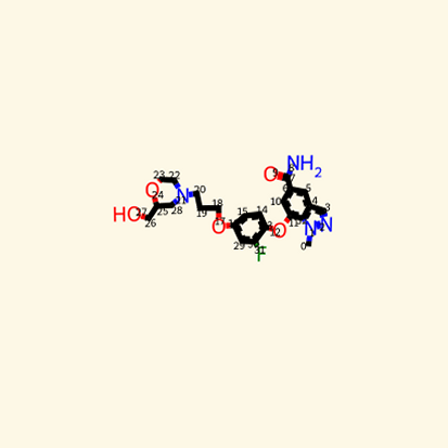 Cn1ncc2cc(C(N)=O)cc(Oc3ccc(OCCCN4CCOC(CO)C4)cc3F)c21